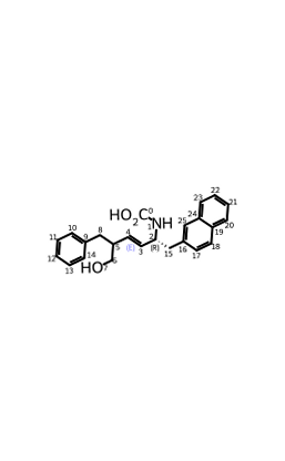 O=C(O)N[C@@H](/C=C/C(CO)Cc1ccccc1)Cc1ccc2ccccc2c1